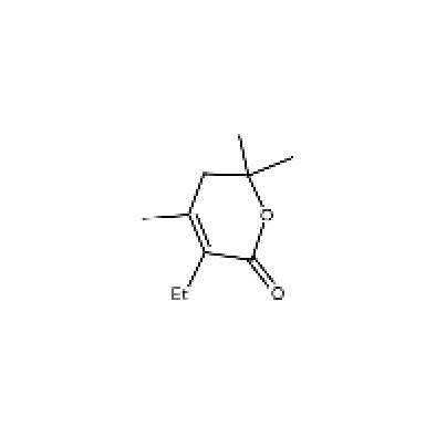 CCC1=C(C)CC(C)(C)OC1=O